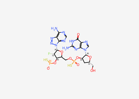 Nc1nc2c(ncn2[C@@H]2O[C@H](CO)C[C@H]2OP(=O)(S)OCC2O[C@@H](n3nnc4c(N)ncnc43)[C@@H](F)[C@@H]2O[PH](=O)S)c(=O)[nH]1